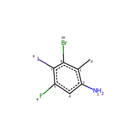 Cc1c(N)cc(F)c(I)c1Br